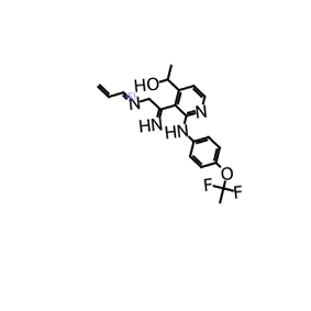 C=C/C=N/CC(=N)c1c(C(C)O)ccnc1Nc1ccc(OC(C)(F)F)cc1